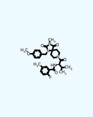 COc1ccc(CN2C(=O)N(C)C(=O)C23CCN(C(=O)[C@H](NC(=O)c2cc(C)ccc2F)C(C)C)CC3)cc1